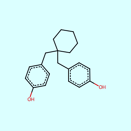 Oc1ccc(CC2(Cc3ccc(O)cc3)CCCCC2)cc1